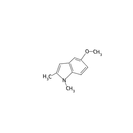 COc1ccc2c(c1)cc(C)n2C